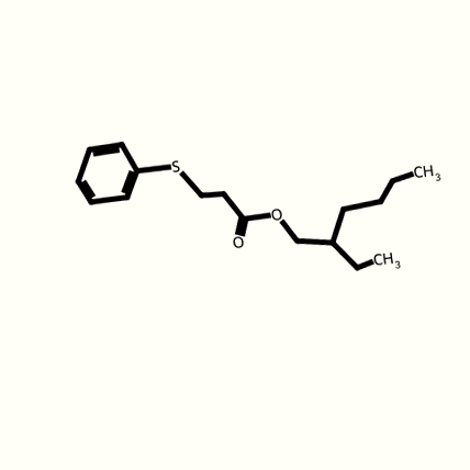 CCCCC(CC)COC(=O)CCSc1ccccc1